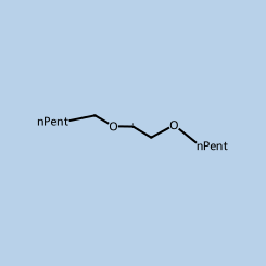 CCCCCCO[CH]COCCCCC